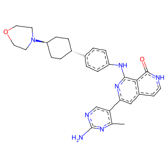 Cc1nc(N)ncc1-c1cc2cc[nH]c(=O)c2c(Nc2ccc([C@H]3CC[C@H](N4CCOCC4)CC3)cc2)n1